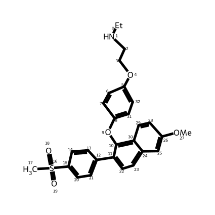 CCNCCOc1ccc(Oc2c(-c3ccc(S(C)(=O)=O)cc3)ccc3cc(OC)ccc23)cc1